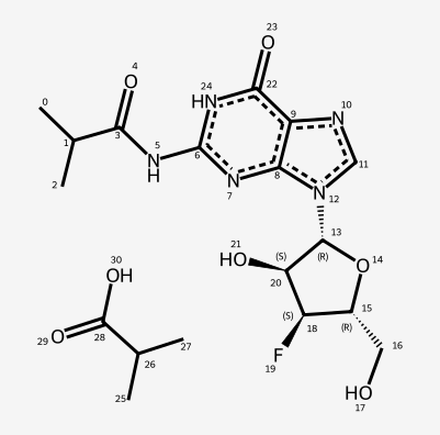 CC(C)C(=O)Nc1nc2c(ncn2[C@@H]2O[C@H](CO)[C@@H](F)[C@H]2O)c(=O)[nH]1.CC(C)C(=O)O